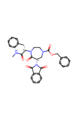 CNC(=O)[C@H](Cc1ccccc1)N1CCN(C(=O)OCc2ccccc2)C[C@H](N2C(=O)c3ccccc3C2=O)C1=O